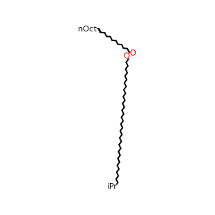 CCCCCCCCC=CCCCCCCCCCC(=O)OCCCCCCCCCCCCCCCCCCCCCCCCCCCCCCCCCCCCCC(C)C